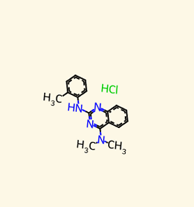 Cc1ccccc1Nc1nc(N(C)C)c2ccccc2n1.Cl